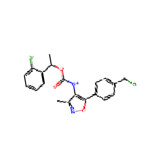 Cc1noc(-c2ccc(CCl)cc2)c1NC(=O)OC(C)c1ccccc1Br